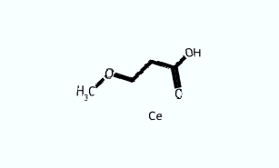 COCCC(=O)O.[Ce]